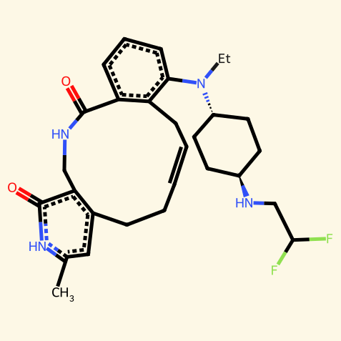 CCN(c1cccc2c1CC=CCCc1cc(C)[nH]c(=O)c1CNC2=O)[C@H]1CC[C@H](NCC(F)F)CC1